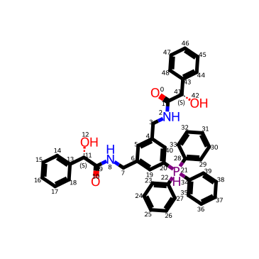 O=C(NCc1cc(CNC(=O)[C@@H](O)c2ccccc2)cc([PH](c2ccccc2)(c2ccccc2)c2ccccc2)c1)[C@@H](O)c1ccccc1